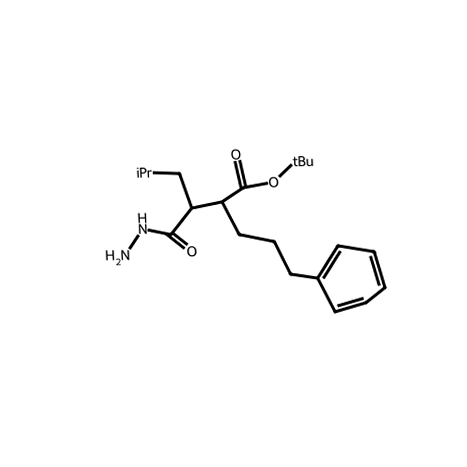 CC(C)CC(C(=O)NN)C(CCCc1ccccc1)C(=O)OC(C)(C)C